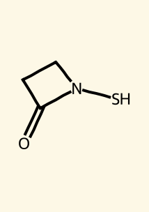 O=C1CCN1S